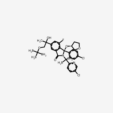 BC(B)(B)OCC(C)(O)c1cc(F)c2c(c1)C(=O)N(C(B)(B)c1ccc(Cl)cn1)[C@@]2(O[C@H]1CCOC1)c1ccc(Cl)cc1